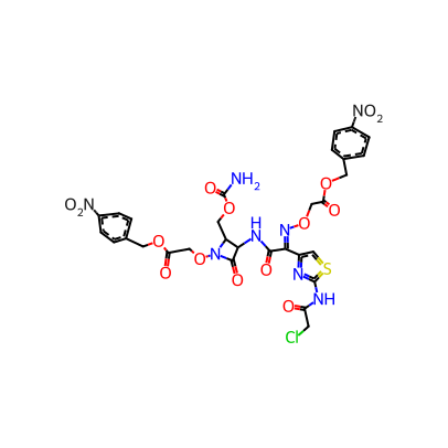 NC(=O)OCC1C(NC(=O)/C(=N/OCC(=O)OCc2ccc([N+](=O)[O-])cc2)c2csc(NC(=O)CCl)n2)C(=O)N1OCC(=O)OCc1ccc([N+](=O)[O-])cc1